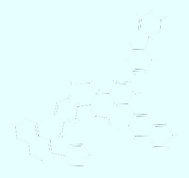 C=Nc1oc2c(-n3c4ccccc4c4ccc5ccccc5c43)cccc2c1/C(=C\C)c1nc(-c2ccc3ccccc3c2)nc(-c2ccc3c(c2)oc2ccccc23)n1